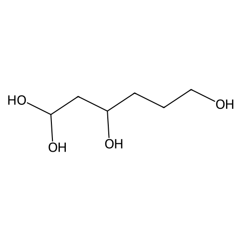 OCCCC(O)CC(O)O